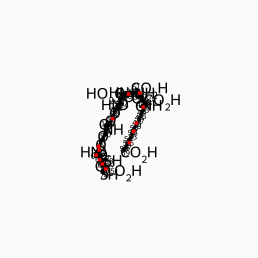 C[C@H](NC(=O)COCCOCCNC(=O)COCCOCCNC(=O)CC[C@H](NC(=O)CC[C@H](NC(=O)CC[C@H](NC(=O)CCCCCCCCCCCCCCCCC(=O)O)C(=O)O)C(=O)O)C(=O)O)C(=O)C[C@@H](CS)C(=O)C[C@@H](CS)C(=O)O